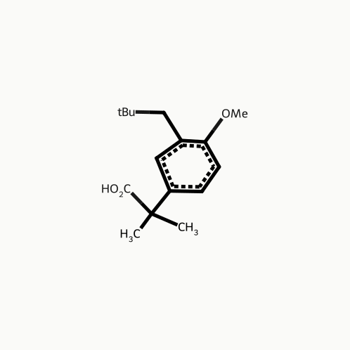 COc1ccc(C(C)(C)C(=O)O)cc1CC(C)(C)C